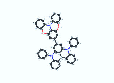 c1ccc(N2c3ccccc3B3c4ccccc4N(c4ccccc4)c4cc(-c5cc6c7c(c5)Oc5ccccc5N7c5ccccc5O6)cc2c43)cc1